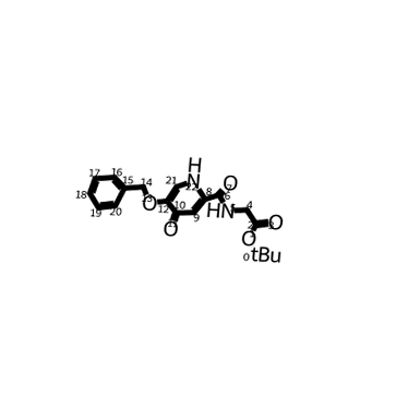 CC(C)(C)OC(=O)CNC(=O)c1cc(=O)c(OCc2ccccc2)c[nH]1